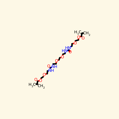 C=C(C)C(=O)OCCOCCNC(=O)NCCOCCOCCNC(=O)NCCOCCOC(=O)C(=C)C